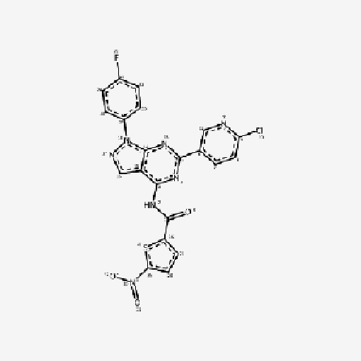 O=C(Nc1nc(-c2ccc(Cl)nc2)nc2c1cnn2-c1ccc(F)cc1)c1ccc([N+](=O)[O-])s1